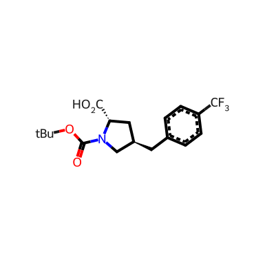 CC(C)(C)OC(=O)N1C[C@H](Cc2ccc(C(F)(F)F)cc2)C[C@H]1C(=O)O